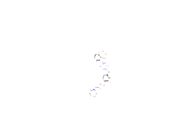 c1cc2c(c(N3CCN(Cc4ccc(OCCCN5CCOCC5)cc4)CC3)c1)OCCO2